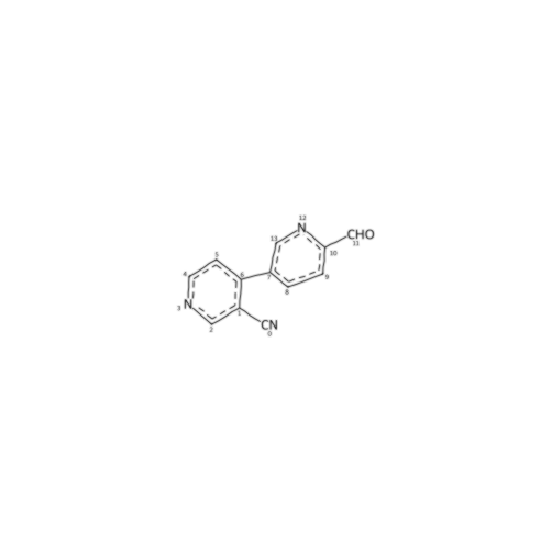 N#Cc1cnccc1-c1ccc(C=O)nc1